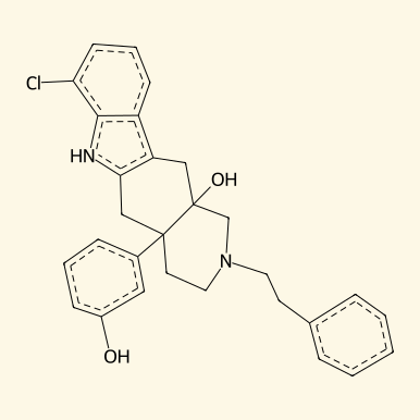 Oc1cccc(C23CCN(CCc4ccccc4)CC2(O)Cc2c([nH]c4c(Cl)cccc24)C3)c1